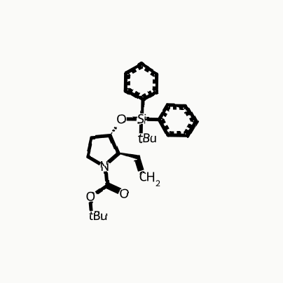 C=C[C@@H]1[C@@H](O[Si](c2ccccc2)(c2ccccc2)C(C)(C)C)CCN1C(=O)OC(C)(C)C